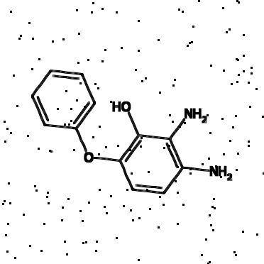 Nc1ccc(Oc2ccccc2)c(O)c1N